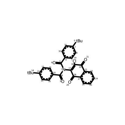 CC(C)(C)c1ccc(C(=O)N(C(=O)c2ccc(C(C)(C)C)cc2)C2=C(Cl)C(=O)c3ccccc3C2=O)cc1